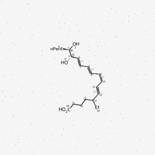 CCCCC[C@@H](O)[C@@H](O)/C=C/C=C/C=C\C=C\C(CC)CCCC(=O)O